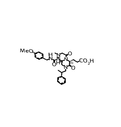 COc1ccc(CNC(=O)N2[C@H]3CN(CC(C)c4ccccc4)C(=O)[C@H](CCC(=O)O)N3C(=O)CN2C)cc1